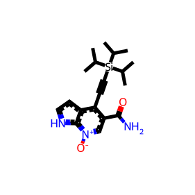 CC(C)[Si](C#Cc1c(C(N)=O)c[n+]([O-])c2[nH]ccc12)(C(C)C)C(C)C